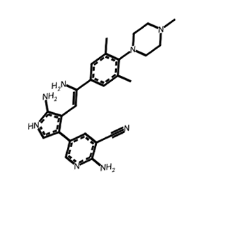 Cc1cc(/C(N)=C/c2c(-c3cnc(N)c(C#N)c3)c[nH]c2N)cc(C)c1N1CCN(C)CC1